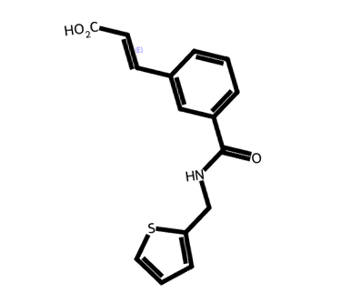 O=C(O)/C=C/c1cccc(C(=O)NCc2cccs2)c1